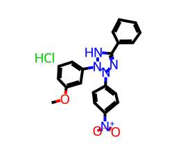 COc1cccc(N2NC(c3ccccc3)=NN2c2ccc([N+](=O)[O-])cc2)c1.Cl